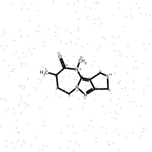 CC1CCn2nc3c(c2N(C)C1=O)CSC3